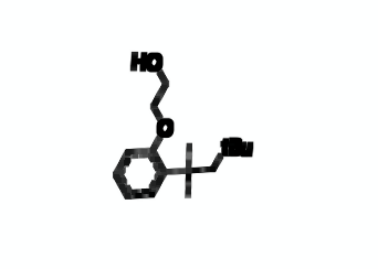 CC(C)(C)CC(C)(C)c1ccccc1OCCO